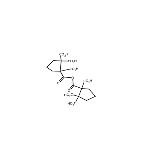 O=C(O)C1(C(=O)O)CCCC1(C(=O)O)C(=O)OC(=O)C1(C(=O)O)CCCC1(C(=O)O)C(=O)O